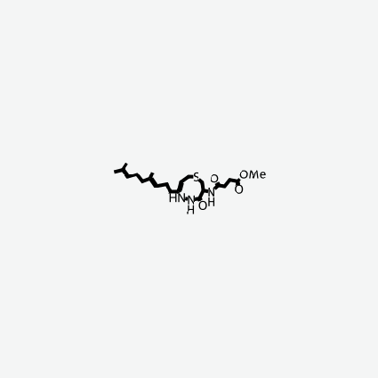 COC(=O)CCC(=O)NC1CSC/C=C(/CC/C=C(\C)CCC=C(C)C)NNC1=O